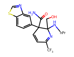 CCCNC1(CO)N=C(C(F)(F)F)C=CC1(C(N)=O)c1ccc2scnc2c1